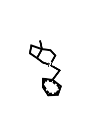 CC12CCC1CN(Cc1ccccc1)CC2